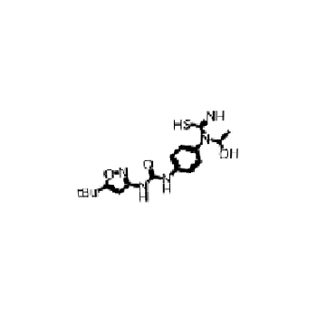 CC(O)N(C(=N)S)c1ccc(NC(=O)Nc2cc(C(C)(C)C)on2)cc1